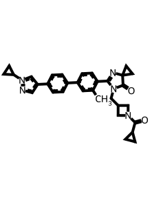 Cc1cc(-c2ccc(-c3cnn(C4CC4)c3)cc2)ccc1C1=NC2(CC2)C(=O)N1CC1CN(C(=O)C2CC2)C1